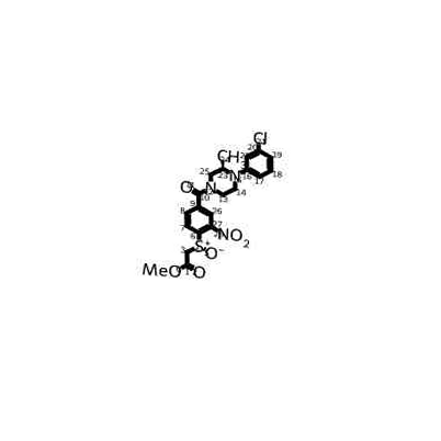 COC(=O)C[S+]([O-])c1ccc(C(=O)N2CCN(c3cccc(Cl)c3)[C@H](C)C2)cc1[N+](=O)[O-]